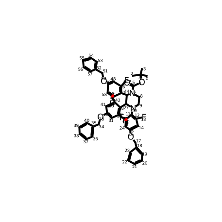 CC(C)(C)OC(=O)N1CCN(c2c(F)cc(OCc3ccccc3)cc2F)C(c2c(F)cc(OCc3ccccc3)cc2F)C1c1c(F)cc(OCc2ccccc2)cc1F